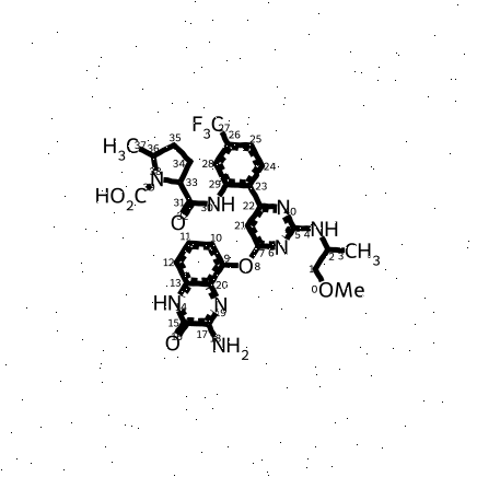 COCC(C)Nc1nc(Oc2cccc3[nH]c(=O)c(N)nc23)cc(-c2ccc(C(F)(F)F)cc2NC(=O)C2CCC(C)N2C(=O)O)n1